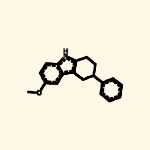 COc1ccc2[nH]c3c(c2c1)CC(c1ccccc1)CC3